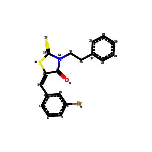 O=C1/C(=C\c2cccc(Br)c2)SC(=S)N1CCc1ccccc1